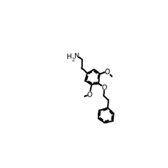 COc1cc(CCN)cc(OC)c1OCCc1ccccc1